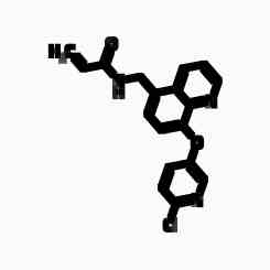 C=CC(=O)NCc1ccc(Oc2ccc(Cl)nc2)c2ncccc12